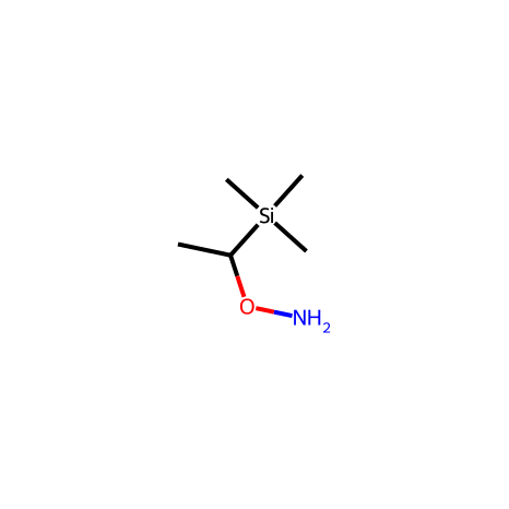 CC(ON)[Si](C)(C)C